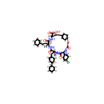 O=C1COc2ccc(cc2)C[C@@H](C(=O)O)NC(=O)[C@@H](CCc2ccccc2)NC(=O)[C@H](Cc2ccc(-c3ccccc3)cc2)NC(=O)C(c2ccc(Br)cc2)N1